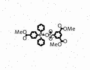 COC(=O)c1cc(C(=O)OC)cc(S(=O)(=O)[O-])c1.COC(=O)c1ccc([P+](C)(c2ccccc2)c2ccccc2)cc1